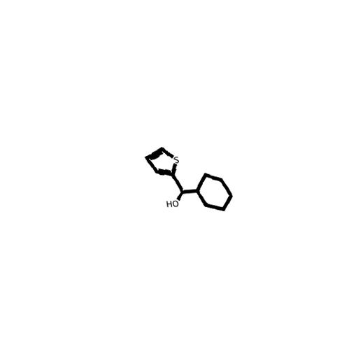 OC(c1cccs1)C1CCCCC1